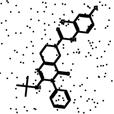 CC(C)(C)Nc1nc2c(c(=O)n1-c1ccccc1)CN(C(=O)Nc1ccc(Cl)cc1Cl)CC2